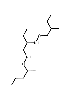 CCCC(C)ONC[C](CC)NOCC(C)CC